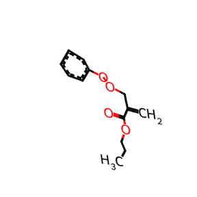 C=C(COOc1ccccc1)C(=O)OCCC